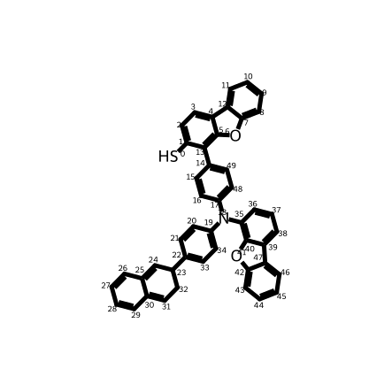 Sc1ccc2c(oc3ccccc32)c1-c1ccc(N(c2ccc(C3C=c4ccccc4=CC3)cc2)c2cccc3c2oc2ccccc23)cc1